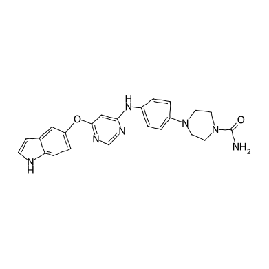 NC(=O)N1CCN(c2ccc(Nc3cc(Oc4ccc5[nH]ccc5c4)ncn3)cc2)CC1